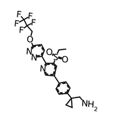 CCS(=O)(=O)c1cc(-c2ccc(C3(CN)CC3)cc2)cnc1-c1ccc(OCC(F)(F)C(F)(F)F)nn1